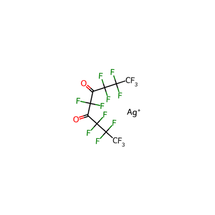 O=C(C(F)(F)C(=O)C(F)(F)C(F)(F)C(F)(F)F)C(F)(F)C(F)(F)C(F)(F)F.[Ag+]